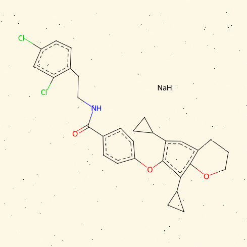 O=C(NCCc1ccc(Cl)cc1Cl)c1ccc(Oc2c(C3CC3)cc3c(c2C2CC2)OCCC3)cc1.[NaH]